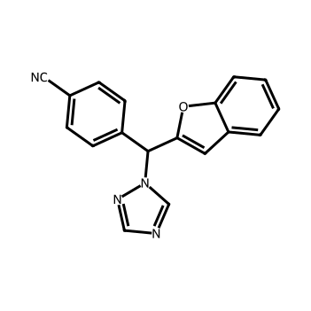 N#Cc1ccc(C(c2cc3ccccc3o2)n2cncn2)cc1